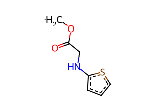 [CH2]OC(=O)CNc1cccs1